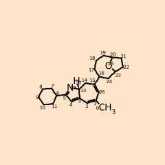 CC1=CC2=CC(C3CCCCC3)=N[C@@H]2CC(C2CCCC3CCC(C2)O3)=C1